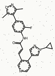 Cc1noc(C)c1-c1ccc(NC(=O)C=Cc2cnccc2-c2cnn(C3CC3)c2)c(F)c1